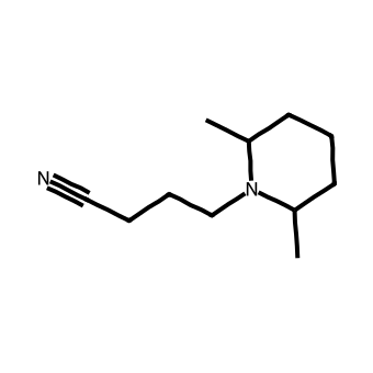 CC1CCCC(C)N1CCCC#N